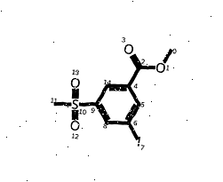 COC(=O)c1cc(I)cc(S(C)(=O)=O)c1